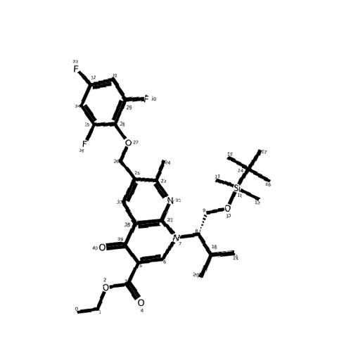 CCOC(=O)c1cn([C@H](CO[Si](C)(C)C(C)(C)C)C(C)C)c2nc(C)c(COc3c(F)cc(F)cc3F)cc2c1=O